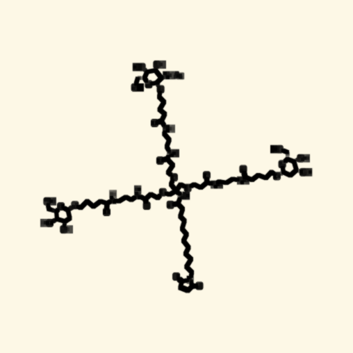 CC(=O)N[C@H]1[C@H](OCCCCC(=O)NCCCNC(=O)CCOCC(COCCC(=O)NCCCNC(=O)CCCCO[C@H]2C[C@@H](O)[C@@H](O)[C@@H](CO)O2)(COCCC(=O)NCCCNC(=O)CCCCO[C@H]2C[C@@H](O)[C@@H](O)[C@@H](CO)O2)NC(=O)CCCCCCCCCCCN2C(=O)C=CC2=O)O[C@H](CO)[C@H](O)[C@@H]1O